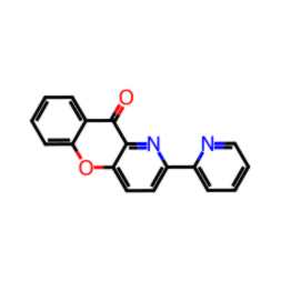 O=c1c2ccccc2oc2ccc(-c3ccccn3)nc12